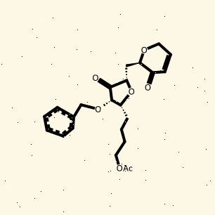 CC(=O)OCCCC[C@H]1O[C@@H](C[C@H]2OCC=CC2=O)C(=O)[C@H]1OCc1ccccc1